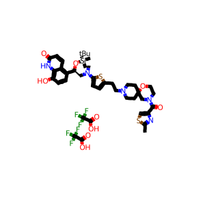 Cc1nc(C(=O)N2CCOC3(CCN(CCc4ccc(N(C)C[C@H](O[Si](C)(C)C(C)(C)C)c5ccc(O)c6[nH]c(=O)ccc56)s4)CC3)C2)cs1.O=C(O)C(F)(F)F.O=C(O)C(F)(F)F